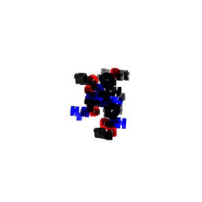 CCOc1ccc(N(C(=O)OC(C)(C)C)c2c(C)c(N[C@H]3CC[C@H](NC(=O)OC(C)(C)C)CC3)nc3c(C(N)=O)cnn23)cc1